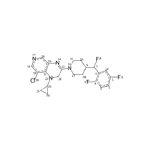 Fc1ccc(F)c(C(F)C2CCN(C3=Nc4cncc(Cl)c4N(C4CC4)C3)CC2)c1